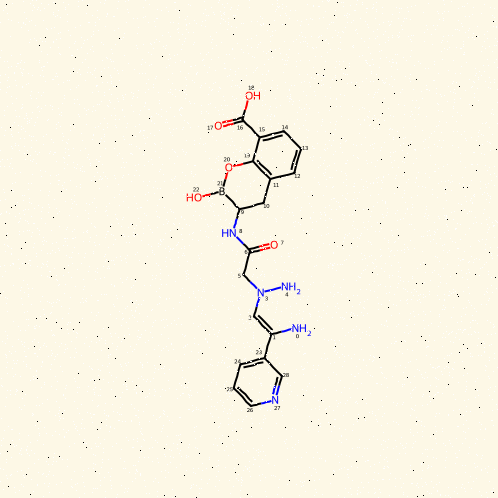 N/C(=C\N(N)CC(=O)NC1Cc2cccc(C(=O)O)c2OB1O)c1cccnc1